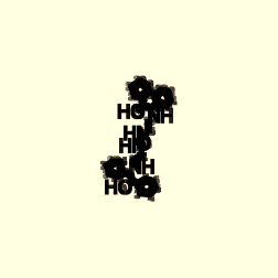 OC(c1ccccc1)C(NCCNONCCNC(c1ccccc1)C(O)c1ccccc1)c1ccccc1